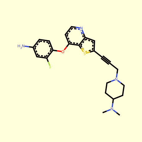 CN(C)C1CCN(CC#Cc2cc3nccc(Oc4ccc(N)cc4F)c3s2)CC1